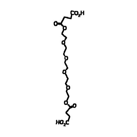 O=C(O)CCC(=O)OCCOCCOCCOCCOCCOC(=O)CCC(=O)O